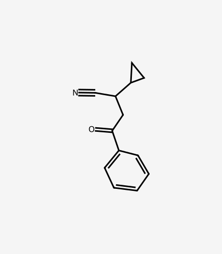 N#CC(CC(=O)c1ccccc1)C1CC1